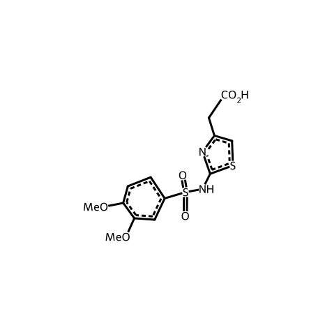 COc1ccc(S(=O)(=O)Nc2nc(CC(=O)O)cs2)cc1OC